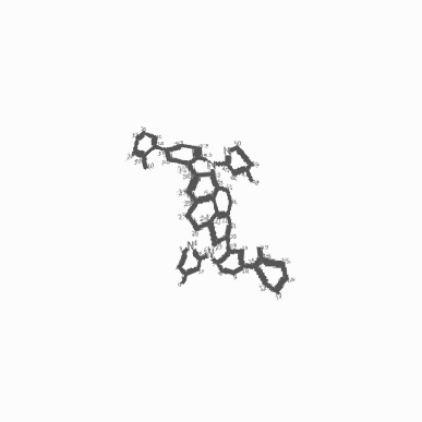 Cc1ccnc(-n2c3ccc(-c4ccccc4C)cc3c3cc4c5c(c32)CCc2cc3c6cc(-c7ccccc7C)ccc6n(-c6cc(C)ccn6)c3c(c2-5)CC4)c1